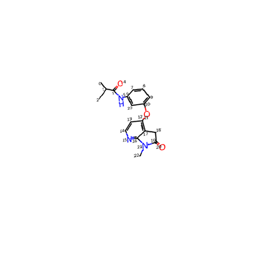 CC(C)C(=O)Nc1cccc(Oc2ccnc3c2CC(=O)N3C)c1